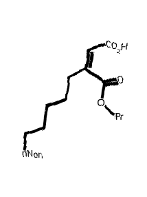 CCCCCCCCCCCCCCC(=CC(=O)O)C(=O)OC(C)C